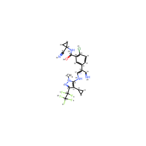 Cn1nc(C(F)(F)C(F)(F)F)c(C2CC2)c1N/C=C(\C=N)c1ccc(Cl)c(C(=O)NC2(C#N)CC2)c1